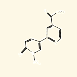 COC(=O)c1ccnc(-c2ccc(=O)n(C)c2)c1